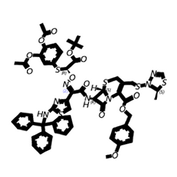 COc1ccc(COC(=O)C2=C(CSN3N=CS[C@H]3C)CS[C@H]3[C@H](NC(=O)/C(=N\O[C@H](Sc4ccc(OC(C)=O)c(OC(C)=O)c4)C(=O)OC(C)(C)C)c4csc(NC(c5ccccc5)(c5ccccc5)c5ccccc5)n4)C(=O)N23)cc1